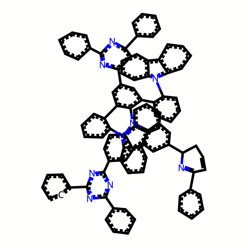 C1=CC(c2ccccc2)=NC(c2ccc3c(c2)c2cc(-c4nc(-c5ccccc5)nc(-c5ccccc5)n4)ccc2n3-c2c(-c3ccccc3-n3c4ccccc4c4ccccc43)cc(-c3cc(-c4ccccc4)nc(-c4ccccc4)n3)cc2-c2ccccc2-n2c3ccccc3c3ccccc32)C1